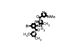 CNc1cncc(C(=O)N2CC(Nc3c(N)cc(Br)cc3C(=O)N3C[C@H](C)C[C@H](C)C3)C(C)(C)C2)c1